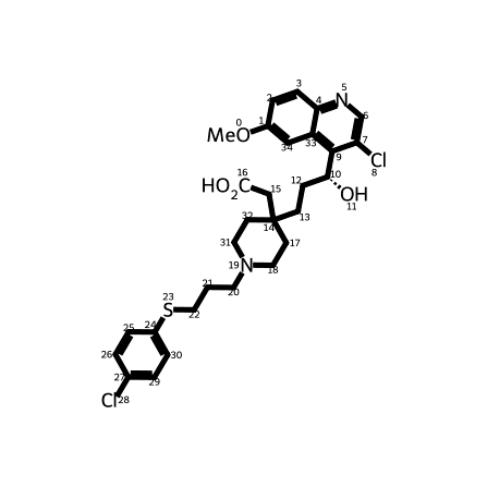 COc1ccc2ncc(Cl)c([C@H](O)CCC3(CC(=O)O)CCN(CCCSc4ccc(Cl)cc4)CC3)c2c1